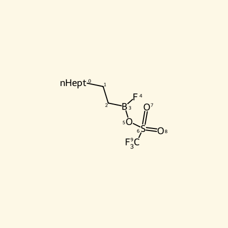 CCCCCCCCCB(F)OS(=O)(=O)C(F)(F)F